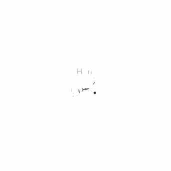 O=S([O-])[O-].[Cu+2].[InH3]